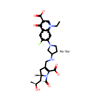 CCn1cc(C(=O)[O-])c(=O)c2cc(F)c(N3CCC(NCC4=C(C(=O)[O-])N5C(=O)[C@H]([C@H](C)O)[C@@H]5C4)C3)cc21.[Na+].[Na+]